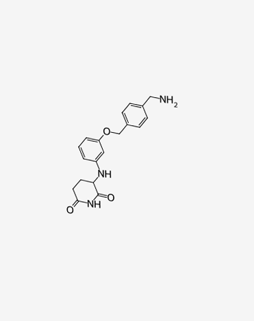 NCc1ccc(COc2cccc(NC3CCC(=O)NC3=O)c2)cc1